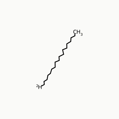 [2H]CCCCCCCCCCCCCCCCCC